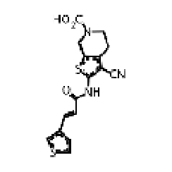 N#Cc1c(NC(=O)C=Cc2ccsc2)sc2c1CCN(C(=O)O)C2